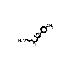 C[C@@H](CCCN)Cc1cn([C@H]2CC[C@H](C)CC2)cn1